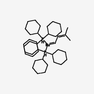 CC(C)=C[CH]=[Ru]([PH](C1CCCCC1)(C1CCCCC1)C1CCCCC1)[PH](C1CCCCC1)(C1CCCCC1)C1CCCCC1